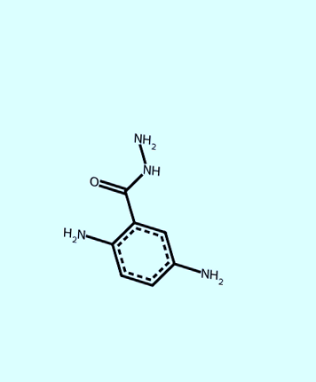 NNC(=O)c1cc(N)ccc1N